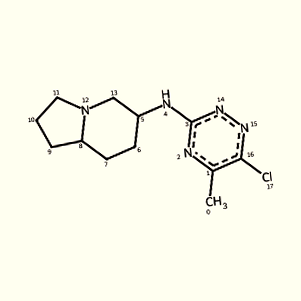 Cc1nc(NC2CCC3CCCN3C2)nnc1Cl